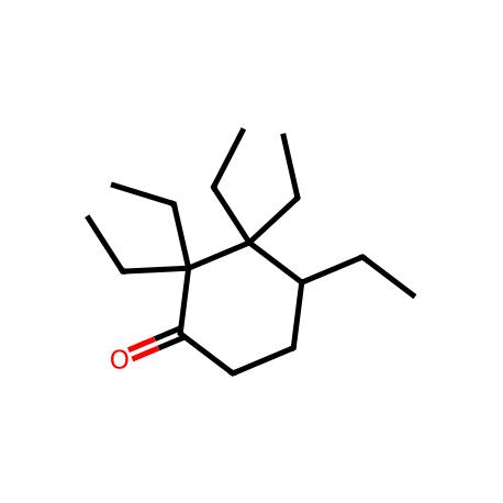 CCC1CCC(=O)C(CC)(CC)C1(CC)CC